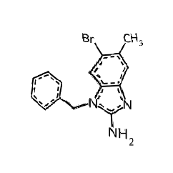 Cc1cc2nc(N)n(Cc3ccccc3)c2cc1Br